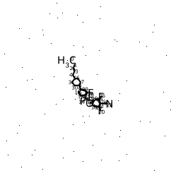 CCC=CCC1CCC(c2ccc(C(F)(F)Oc3cc(F)c(C#N)c(F)c3)c(F)c2)CC1